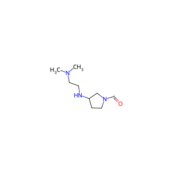 CN(C)CCNC1CCN([C]=O)C1